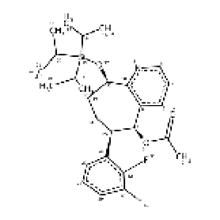 CC(=O)O[C@@H]1c2cccnc2[C@H](O[Si](C(C)C)(C(C)C)C(C)C)CC[C@@H]1c1cccc(F)c1F